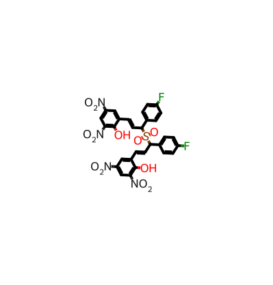 O=[N+]([O-])c1cc(C=CC(c2ccc(F)cc2)S(=O)(=O)C(C=Cc2cc([N+](=O)[O-])cc([N+](=O)[O-])c2O)c2ccc(F)cc2)c(O)c([N+](=O)[O-])c1